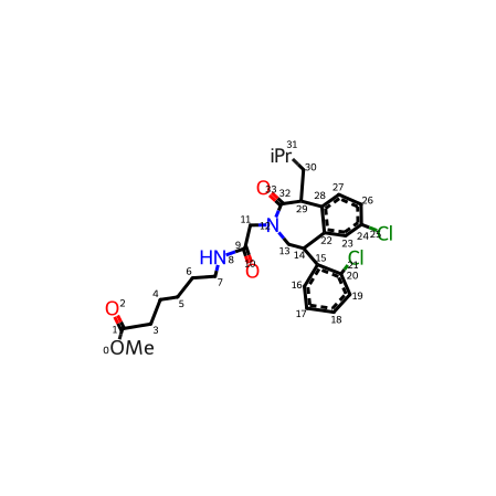 COC(=O)CCCCCNC(=O)CN1CC(c2ccccc2Cl)c2cc(Cl)ccc2C(CC(C)C)C1=O